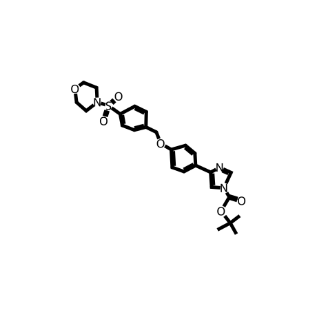 CC(C)(C)OC(=O)n1cnc(-c2ccc(OCc3ccc(S(=O)(=O)N4CCOCC4)cc3)cc2)c1